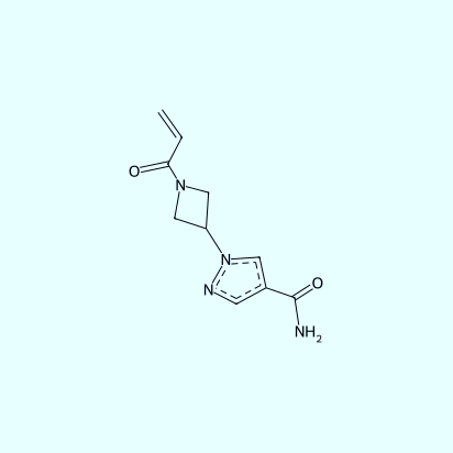 C=CC(=O)N1CC(n2cc(C(N)=O)cn2)C1